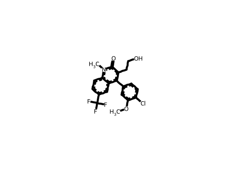 COc1cc(-c2c(CCO)c(=O)n(C)c3ccc(C(F)(F)F)cc23)ccc1Cl